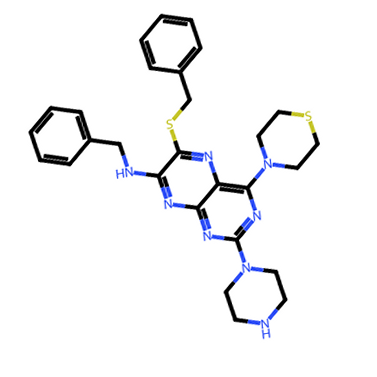 c1ccc(CNc2nc3nc(N4CCNCC4)nc(N4CCSCC4)c3nc2SCc2ccccc2)cc1